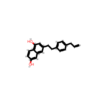 C=CCc1ccc(CCc2cc(O)c3ccc(O)cc3c2)cc1